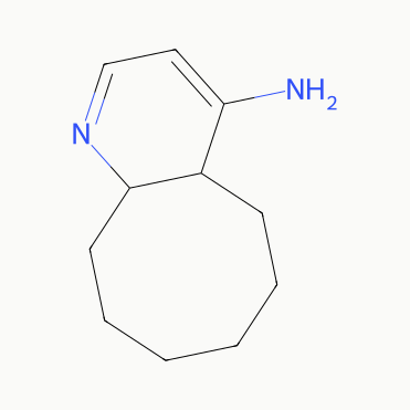 NC1=CC=NC2CCCCCCC12